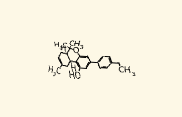 CCc1ccc(-c2cc(O)c3c(c2)OC(C)(C)[C@@H]2CC=C(C)C[C@@H]32)cc1